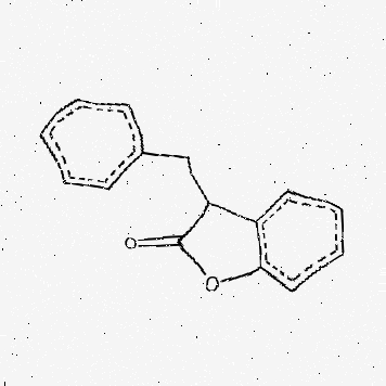 O=C1Oc2ccccc2C1Cc1ccccc1